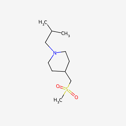 CC(C)CN1CCC(CS(C)(=O)=O)CC1